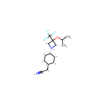 CC(C)OC1(C(F)(F)F)CN([C@H]2CC[C@H](CC#N)CC2)C1